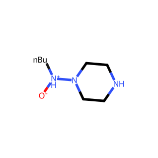 CCCC[NH+]([O-])N1CCNCC1